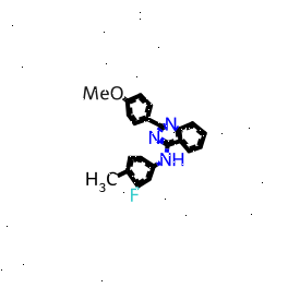 COc1ccc(-c2nc(Nc3ccc(C)c(F)c3)c3ccccc3n2)cc1